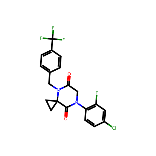 O=C1CN(c2ccc(Cl)cc2F)C(=O)C2(CC2)N1Cc1ccc(C(F)(F)F)cc1